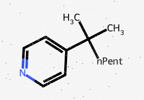 CCCCCC(C)(C)c1ccncc1